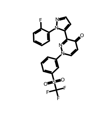 O=c1ccn(-c2cccc(S(=O)(=O)C(F)(F)F)c2)nc1-c1ccnn1-c1ccccc1F